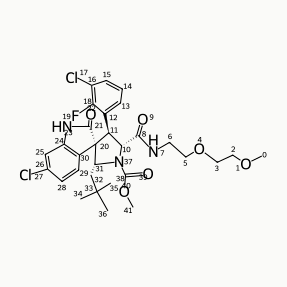 COCCOCCNC(=O)[C@H]1[C@H](c2cccc(Cl)c2F)[C@@]2(C(=O)Nc3cc(Cl)ccc32)[C@@H](CC(C)(C)C)N1C(=O)OC